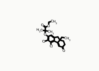 CCOC(=O)C(C)(C)Oc1cc2c(c(Cl)c1Cl)C1=CC(=O)CCC1(CC)C2